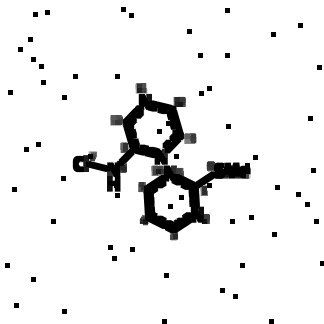 CSc1ncccn1.ClNc1cnccn1